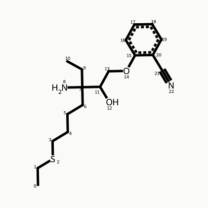 CCSCCCCC(N)(CC)C(O)COc1ccccc1C#N